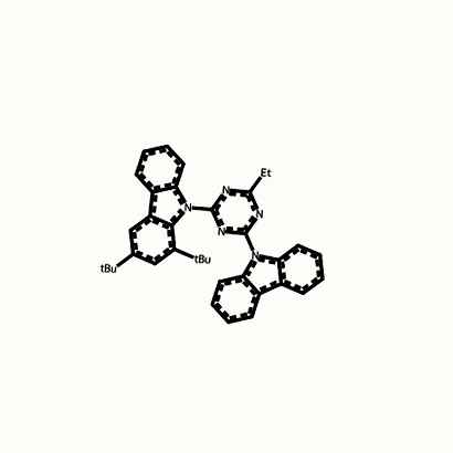 CCc1nc(-n2c3ccccc3c3ccccc32)nc(-n2c3ccccc3c3cc(C(C)(C)C)cc(C(C)(C)C)c32)n1